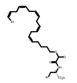 CC/C=C\C/C=C\C/C=C\C/C=C\C/C=C\CCCCOC(CC)C(=O)N[C@@H](CC(C)C)C(=O)OCC